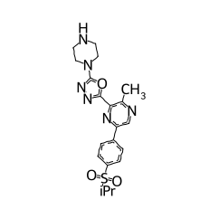 Cc1ncc(-c2ccc(S(=O)(=O)C(C)C)cc2)nc1-c1nnc(N2CCNCC2)o1